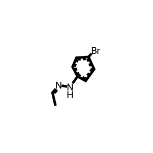 C/C=N\Nc1ccc(Br)cc1